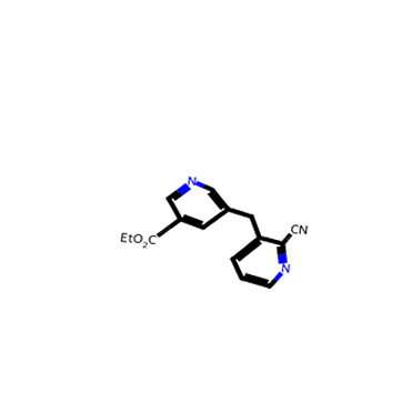 CCOC(=O)c1cncc(Cc2cccnc2C#N)c1